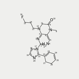 C=C(/N=C1\C(=C/N)N(C)C(=O)CN1CCCF)n1ccnc1C1=CC=CCC1